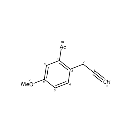 C#CCc1ccc(OC)cc1C(C)=O